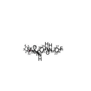 CN1C2CCC1CC(NC(=O)c1n[nH]c3cc(NC(=O)NCc4ccc(F)cc4)ccc13)C2